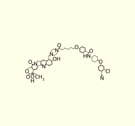 CC[C@@]1(O)C(=O)OCc2c1cc1n(c2=O)Cc2cc3c(CN4CCN(C(=O)CCCCCOc5ccc(C(=O)N[C@H]6CC[C@H](Oc7ccc(C#N)c(Cl)c7)CC6)cc5)CC4)c(O)ccc3nc2-1